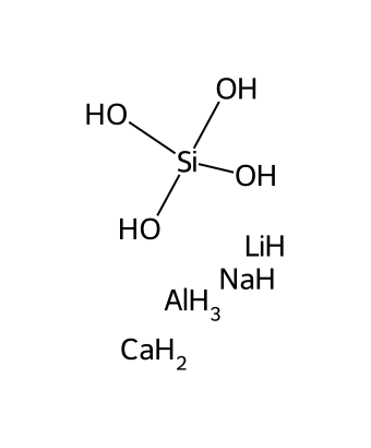 O[Si](O)(O)O.[AlH3].[CaH2].[LiH].[NaH]